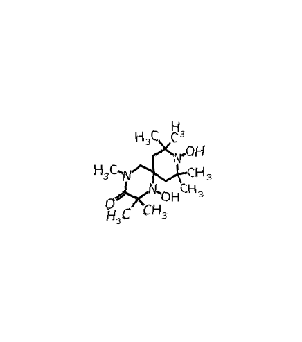 CN1CC2(CC(C)(C)N(O)C(C)(C)C2)N(O)C(C)(C)C1=O